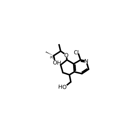 CC(OC1CCC(CO)c2ccnc(Cl)c21)[C@@H](C)O